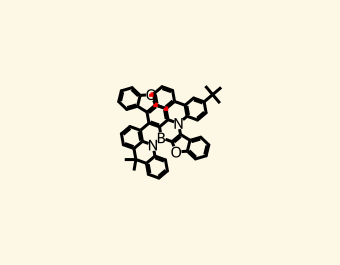 CC(C)(C)c1ccc(N2c3cc4oc5ccccc5c4c4c3B(c3oc5ccccc5c32)N2c3ccccc3C(C)(C)c3cccc-4c32)c(-c2ccccc2)c1